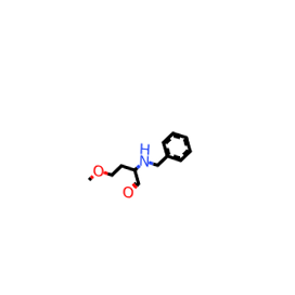 COCCC(C=O)NCc1ccccc1